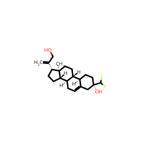 C=C(CO)[C@H]1CC[C@H]2[C@@H]3CC=C4C[C@](O)(C(F)F)CC[C@@H]4[C@H]3CC[C@]12C